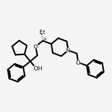 CC[C@@H](OCC(O)(c1ccccc1)C1CCCC1)C1CCN(COc2ccccc2)CC1